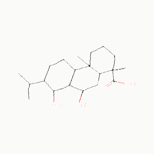 CC(C)C1CCC2C(C(O)CC3C(C)(C(=O)O)CCCC23C)C1O